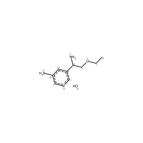 CCOCC(N)c1cncc(N)c1.Cl